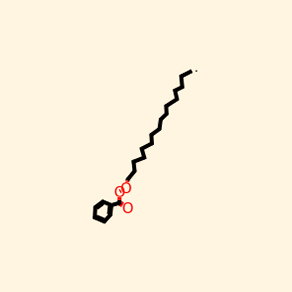 [CH2]CCCCCCCCCCCCCCCOOC(=O)c1ccccc1